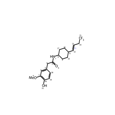 COc1cc(CC(=O)NC2CCC(/C=C/CC(F)(F)F)CC2)ccc1O